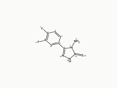 Nn1c(-c2ccc(F)c(F)c2)n[nH]c1=S